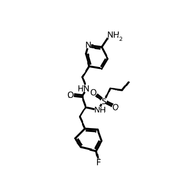 CCCS(=O)(=O)NC(Cc1ccc(F)cc1)C(=O)NCc1ccc(N)nc1